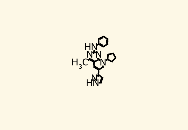 Cc1nc(Nc2ccccc2)nc2c1C=C(c1cc[nH]n1)CN2C1CCCC1